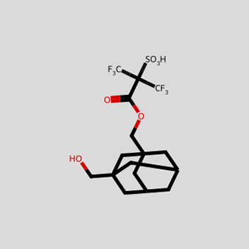 O=C(OCC12CC3CC(CC(CO)(C3)C1)C2)C(C(F)(F)F)(C(F)(F)F)S(=O)(=O)O